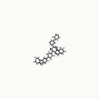 c1ccc(-c2cccc(-c3nc(-c4ccc(-c5ccc6oc7ccccc7c6c5)cc4)c4ccc5ccccc5c4n3)c2)cc1